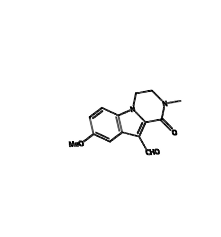 COc1ccc2c(c1)c(C=O)c1n2CCN(C)C1=O